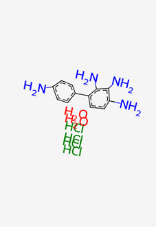 Cl.Cl.Cl.Cl.Nc1ccc(-c2ccc(N)c(N)c2N)cc1.O.O